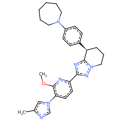 COc1nc(-c2nc3n(n2)CCC[C@@H]3c2ccc(N3CCCCCC3)cc2)ccc1-n1cnc(C)c1